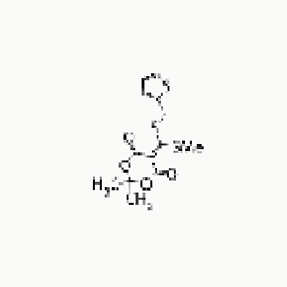 CSC(SCc1cccs1)=C1C(=O)OC(C)(C)OC1=O